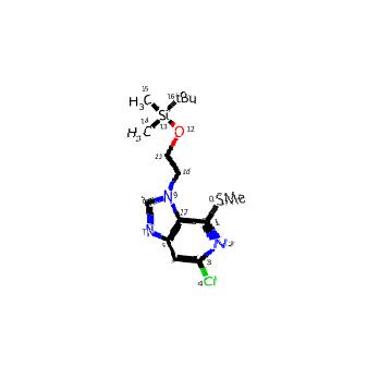 CSc1nc(Cl)cc2ncn(CCO[Si](C)(C)C(C)(C)C)c12